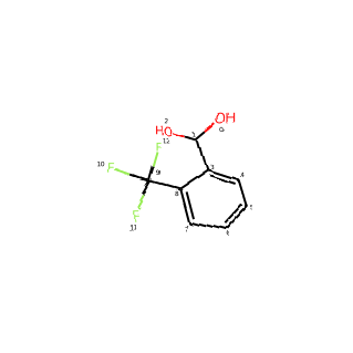 OC(O)c1ccccc1C(F)(F)F